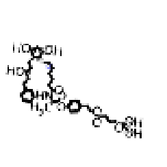 CC(NC(=O)CCC/C=C\C[C@@H]1[C@@H](CC[C@@H](O)CCc2ccccc2)[C@H](O)C[C@@H]1O)C(=O)Oc1ccc(CCOC(=O)CCCON(O)O)cc1